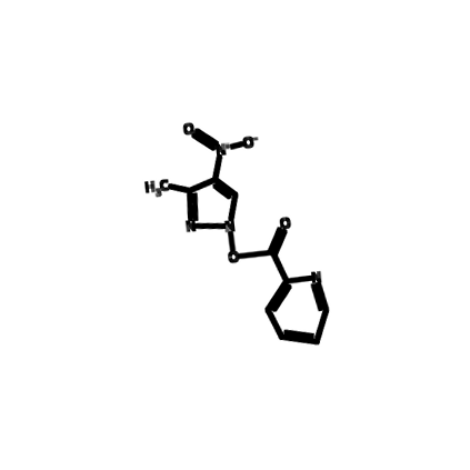 Cc1nn(OC(=O)c2ccccn2)cc1[N+](=O)[O-]